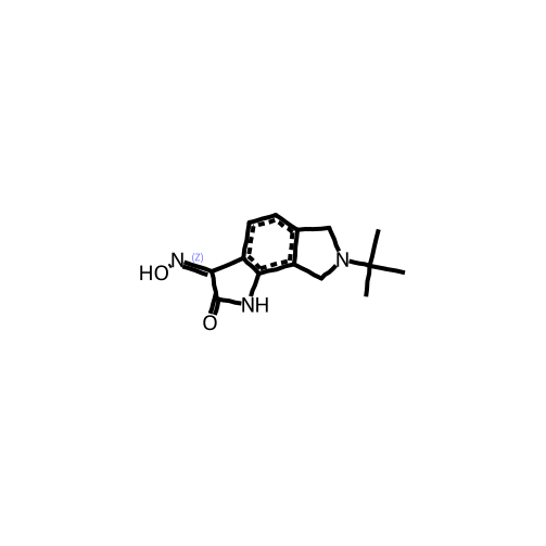 CC(C)(C)N1Cc2ccc3c(c2C1)NC(=O)/C3=N\O